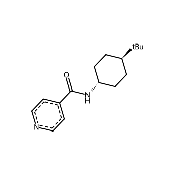 CC(C)(C)[C@H]1CC[C@H](NC(=O)c2ccncc2)CC1